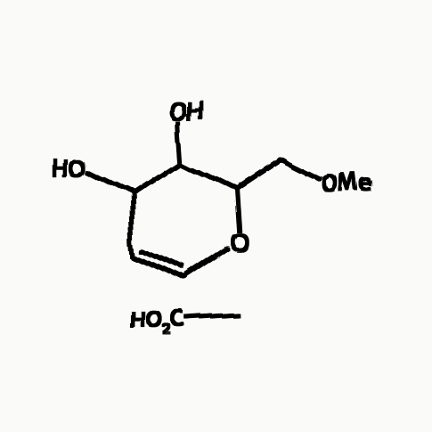 CC(=O)O.COCC1OC=CC(O)C1O